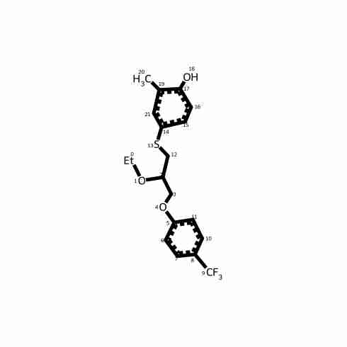 CCOC(COc1ccc(C(F)(F)F)cc1)CSc1ccc(O)c(C)c1